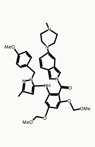 COCOc1cc(Nc2cc(C)nn2Cc2ccc(OC)cc2)c(C(=O)n2cc3ccc(N4CCN(C)CC4)cc3c2)c(OCOC)c1